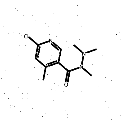 Cc1cc(Cl)ncc1C(=O)N(C)N(C)C